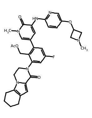 CC(=O)OCc1c(-c2cc(Nc3ccc(OC4CN(C)C4)cn3)c(=O)n(C)c2)cc(F)cc1N1CCn2c(cc3c2CCCC3)C1=O